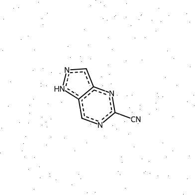 N#Cc1ncc2[nH]ncc2n1